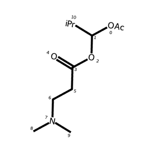 CC(=O)OC(OC(=O)CCN(C)C)C(C)C